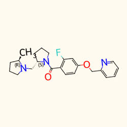 C[C@@H]1CCCN1C[C@@H]1CCCN1C(=O)c1ccc(OCc2ccccn2)cc1F